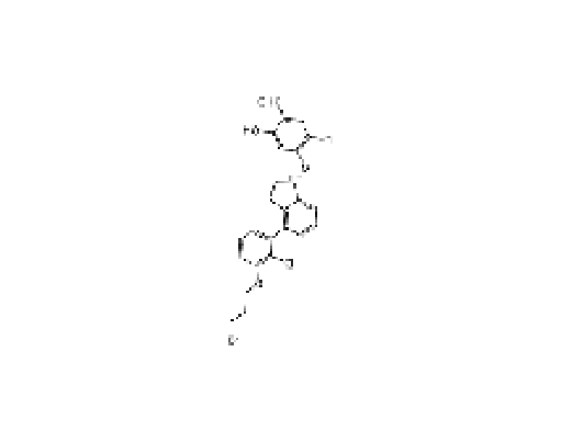 O=Cc1cc(Cl)c(O[C@H]2CCc3c(-c4cccc(OCCCBr)c4Cl)cccc32)cc1O